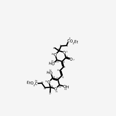 CCOC(=O)CCC1(C)OC(=O)C(=CC=CC2=C(O)OC(C)(CCC(=O)OCC)OC2O)C(O)O1